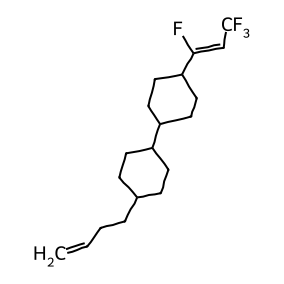 C=CCCC1CCC(C2CCC(/C(F)=C/C(F)(F)F)CC2)CC1